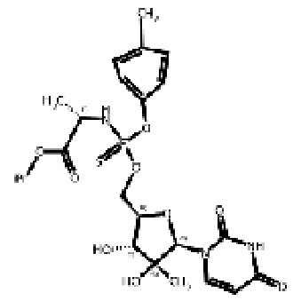 Cc1ccc(OP(=S)(N[C@@H](C)C(=O)OC(C)C)OC[C@H]2O[C@@H](n3ccc(=O)[nH]c3=O)[C@](C)(O)[C@@H]2O)cc1